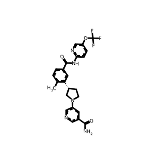 Cc1ccc(C(=O)Nc2ccc(OC(F)(F)F)cn2)cc1[C@@H]1CCN(c2cncc(C(N)=O)c2)C1